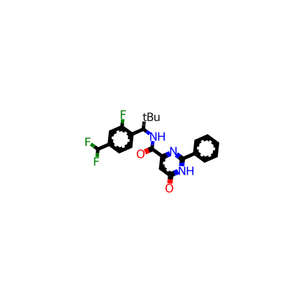 CC(C)(C)C(NC(=O)c1cc(=O)[nH]c(-c2ccccc2)n1)c1ccc(C(F)F)cc1F